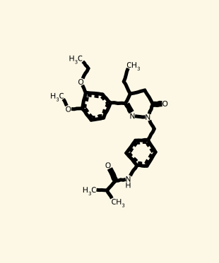 CCOc1cc(C2=NN(Cc3ccc(NC(=O)C(C)C)cc3)C(=O)CC2CC)ccc1OC